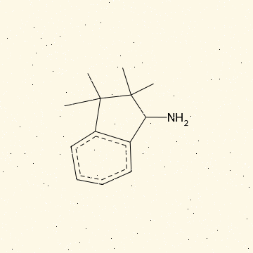 CC1(C)c2ccccc2C(N)C1(C)C